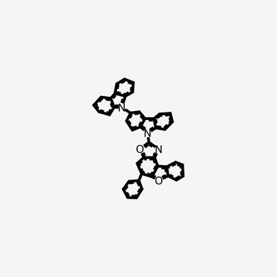 c1ccc(-c2cc3oc(-n4c5ccccc5c5cc(-n6c7ccccc7c7ccccc76)ccc54)nc3c3c2oc2ccccc23)cc1